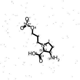 NC1CCN(CCCO[N+](=O)[O-])[C@@H]1C(=O)O